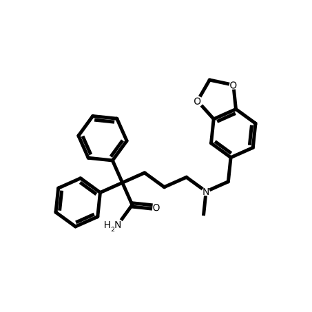 CN(CCCC(C(N)=O)(c1ccccc1)c1ccccc1)Cc1ccc2c(c1)OCO2